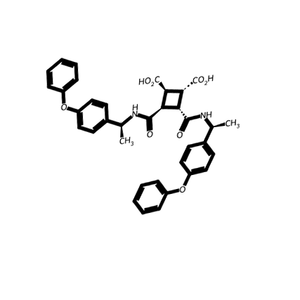 C[C@H](NC(=O)[C@H]1[C@@H](C(=O)O)[C@H](C(=O)O)[C@@H]1C(=O)N[C@@H](C)c1ccc(Oc2ccccc2)cc1)c1ccc(Oc2ccccc2)cc1